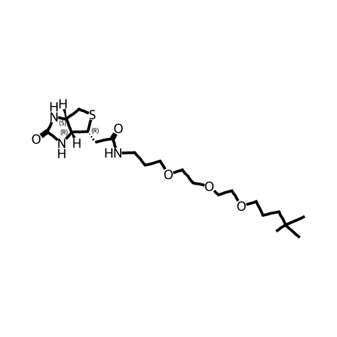 CC(C)(C)CCCOCCOCCOCCCNC(=O)C[C@H]1SC[C@H]2NC(=O)N[C@H]21